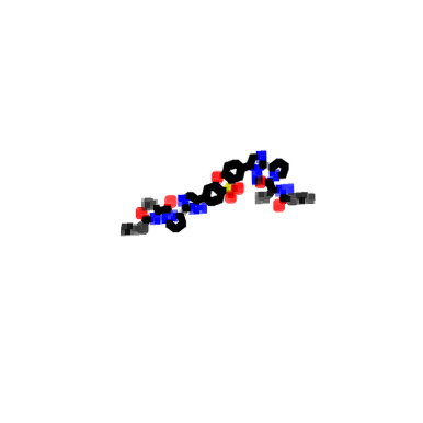 COC(=O)N[C@H](C(=O)N1CCC[C@H]1C1=NCC(c2ccc3c(c2)Oc2ccc(C4CN=C([C@@H]5CCCN5C(=O)[C@@H](NC(=O)OC)C(C)C)N4)cc2S3(=O)=O)N1)C(C)C